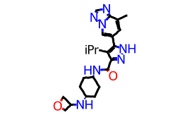 Cc1cc(-c2[nH]nc(C(=O)N[C@H]3CC[C@@H](NC4COC4)CC3)c2C(C)C)cn2ncnc12